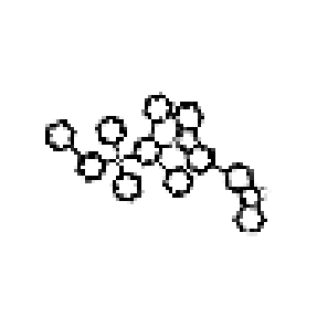 c1ccc(-c2cccc(S(c3ccccc3)(c3ccccc3)c3cc(-c4ccccc4)c(-n4c5ccccc5c5cc(-c6ccc7oc8ccccc8c7c6)ccc54)c(-c4ccccc4)c3)c2)cc1